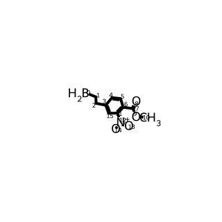 BCCc1ccc(C(=O)OC)c([N+](=O)[O-])c1